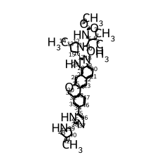 COC(=O)N[C@@H](C(C)C)C(O)N1C[C@@H](C)C[C@H]1c1nc2ccc3cc4c(cc3c2[nH]1)OCc1cc(-c2cnc([C@@H]3C[C@H](C)CN3)[nH]2)ccc1-4